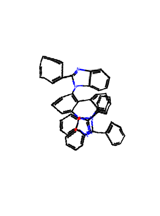 c1ccc(-c2nc3ccccc3n2-c2ccccc2-c2c(-n3c(-c4ccccc4)nc4ccccc43)cccc2-n2c(-c3ccccc3)nc3ccccc32)cc1